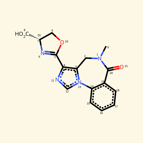 CN1Cc2c(C3=N[C@H](C(=O)O)CO3)ncn2-c2ccccc2C1=O